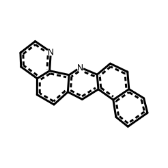 c1ccc2c(c1)ccc1nc3c(ccc4cccnc43)cc12